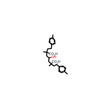 Cc1ccc(CCC(C)(CC(O)CC(C)(CCc2ccc(C)cc2)C(=O)O)C(=O)O)cc1